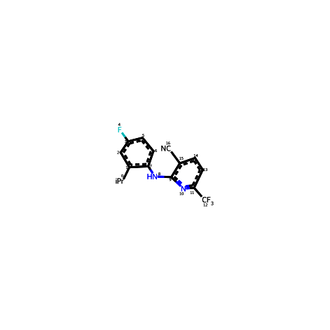 CC(C)c1cc(F)ccc1Nc1nc(C(F)(F)F)ccc1C#N